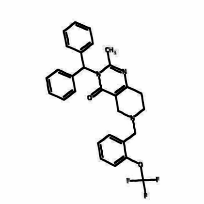 Cc1nc2c(c(=O)n1C(c1ccccc1)c1ccccc1)CN(Cc1ccccc1OC(F)(F)F)CC2